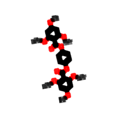 CCCOc1cc(OCC)cc(OCCC)c1C(=O)Oc1ccc(OC(=O)c2c(OCCC)cc(OCC)cc2OCCC)cc1